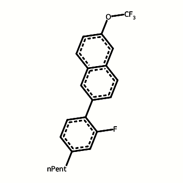 CCCCCc1ccc(-c2ccc3cc(OC(F)(F)F)ccc3c2)c(F)c1